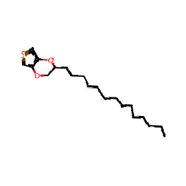 CCCCCCCCCCCCCCC1COc2cscc2O1